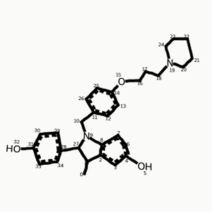 CC1c2cc(O)ccc2N(Cc2ccc(OCCCN3CCCCC3)cc2)C1c1ccc(O)cc1